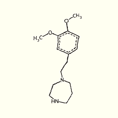 COc1ccc(CCN2CCCNCC2)cc1OC